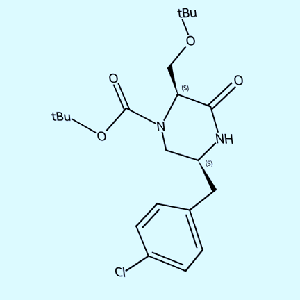 CC(C)(C)OC[C@H]1C(=O)N[C@@H](Cc2ccc(Cl)cc2)CN1C(=O)OC(C)(C)C